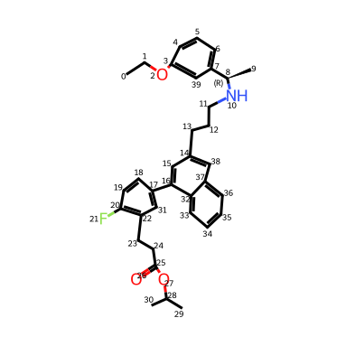 CCOc1cccc([C@@H](C)NCCCc2cc(-c3ccc(F)c(CCC(=O)OC(C)C)c3)c3ccccc3c2)c1